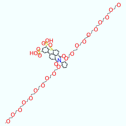 COCCOCCOCCOCCOCCOCCOCCOCCOCCOc1cccc(OCCOCCOCCOCCOCCOCCOCCOCCOCCOC)c1-n1c(=O)c2ccc3sc4c(S(=O)(=O)O)cc(S(=O)(=O)O)cc4c4ccc(c1=O)c2c34